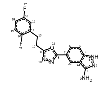 Nc1n[nH]c2ccc(-c3nnc(CCc4cc(F)ccc4F)o3)cc12